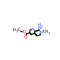 CCOC(=O)c1cnc2c(N)[n+](C)ccc2c1